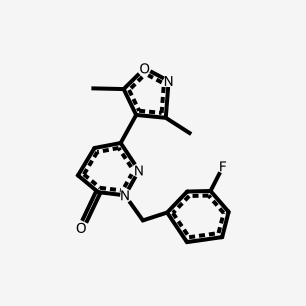 Cc1noc(C)c1-c1ccc(=O)n(Cc2cccc(F)c2)n1